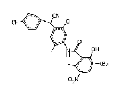 Cc1cc(C(C#N)c2ccc(Cl)cc2)c(Cl)cc1NC(=O)c1c(C)c([N+](=O)[O-])cc(C(C)(C)C)c1O